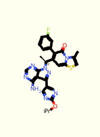 Cc1csc2cc([C@H](C)n3nc(-c4cnc(OC(C)C)nc4)c4c(N)ncnc43)c(-c3cccc(F)c3)c(=O)n12